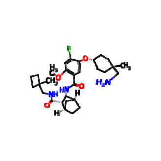 COc1cc(F)c(O[C@H]2CC[C@@](C)(CN)CC2)cc1C(=O)N[C@@H]1[C@H]2CC[C@H](C2)[C@@H]1C(=O)NCC1(C)CCC1